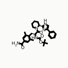 Cc1cc(C(N)=O)cc(C)c1C[C@H](NC(=O)OC(C)(C)C)C(=O)N1CCCC[C@H]1c1nc(-c2ccccc2)c[nH]1